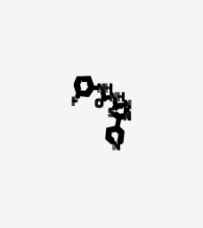 O=C(Nc1cccc(F)c1)Nc1nnc(-c2ccncc2)s1